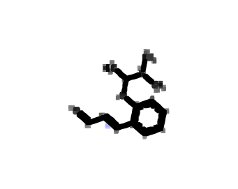 CC(Oc1ccccc1/C=C/[C]=O)N(C)C